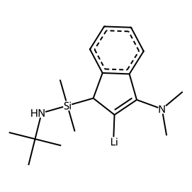 [Li][C]1=C(N(C)C)c2ccccc2C1[Si](C)(C)NC(C)(C)C